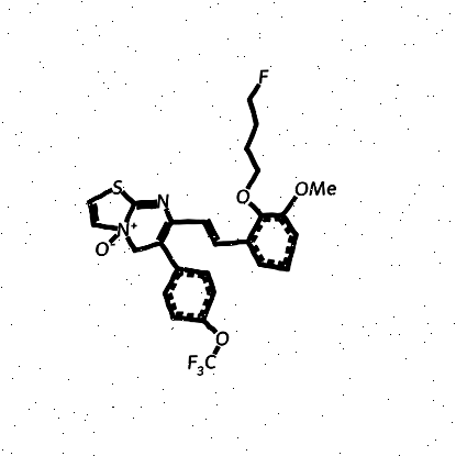 COc1cccc(C=CC2=C(c3ccc(OC(F)(F)F)cc3)C[N+]3([O-])C=CSC3=N2)c1OCCCCF